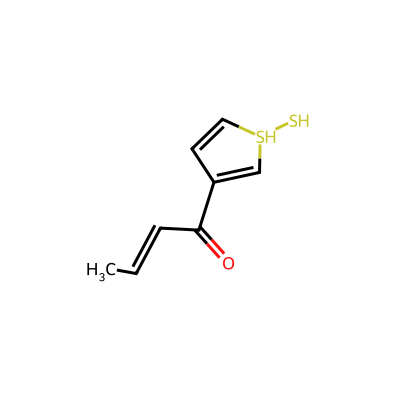 CC=CC(=O)C1=C[SH](S)C=C1